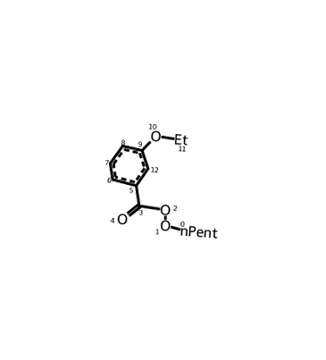 [CH2]CCCCOOC(=O)c1cccc(OCC)c1